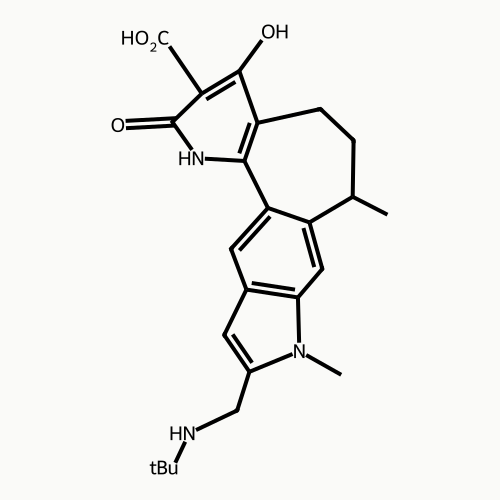 CC1CCc2c([nH]c(=O)c(C(=O)O)c2O)-c2cc3cc(CNC(C)(C)C)n(C)c3cc21